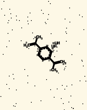 C=C(C)c1ccc(C(=C)C)cc1.[LiH].[LiH]